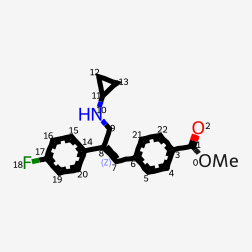 COC(=O)c1ccc(/C=C(\CNC2CC2)c2ccc(F)cc2)cc1